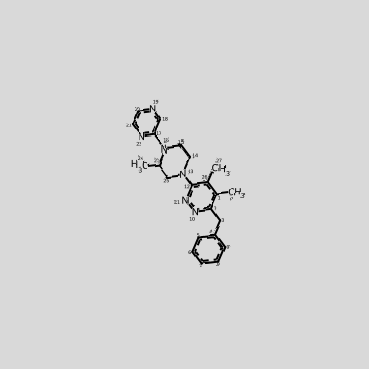 Cc1c(Cc2ccccc2)nnc(N2CCN(c3cnccn3)C(C)C2)c1C